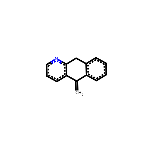 C=C1c2ccccc2Cc2ncccc21